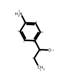 CCC([O])c1ccc(N)cc1